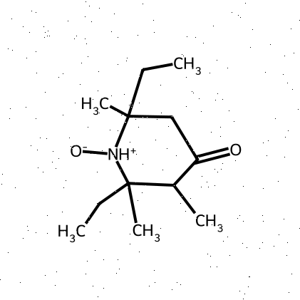 CCC1(C)CC(=O)C(C)C(C)(CC)[NH+]1[O-]